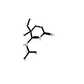 CCC1(C)CCC(=O)N=C1OC(C)C